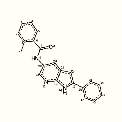 Cc1ccccc1C(=O)Nc1cnc2[nH]c(-c3ccccc3)cc2c1